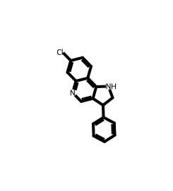 Clc1ccc2c3c(cnc2c1)C(c1ccccc1)CN3